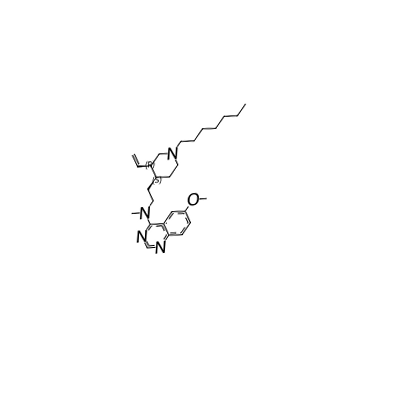 C=C[C@H]1CN(CCCCCCC)CC[C@H]1CCN(C)c1ncnc2ccc(OC)cc12